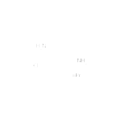 CCCCCCl.NCCN